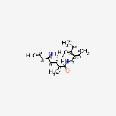 C/C=C(/CNC(=O)C(C)CCC(N)CCC)C(C)CC